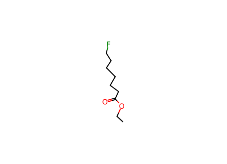 CCOC(=O)CCCCCCF